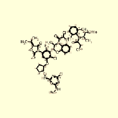 CC(C)=C1OC(=O)N(c2cc(OC3CCCC3)c(Cl)cc2F)C1=O.CC1COc2ccccc2N1C(=O)C(Cl)Cl.CCNc1nc(Cl)nc(NC(C)(C)C)n1.CCc1cccc(C)c1N(C(=O)CCl)C(C)COC